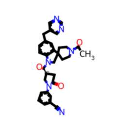 CC(=O)N1CCC2(CC1)CN(C(=O)[C@H]1CC(=O)N(c3cccc(C#N)c3)C1)c1ccc(Cc3cncnc3)cc12